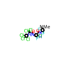 CNc1ccc(F)c(NC(=O)c2cc(NC(=O)[C@H]3[C@H](c4cc(Cl)c(Cl)c(Cl)c4)C3(Cl)Cl)cc(F)c2Cl)c1F